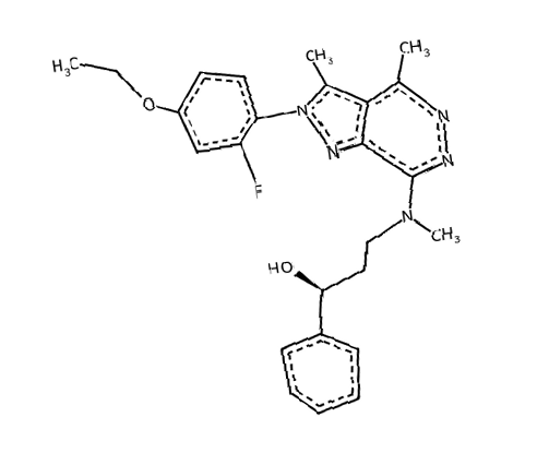 CCOc1ccc(-n2nc3c(N(C)CC[C@H](O)c4ccccc4)nnc(C)c3c2C)c(F)c1